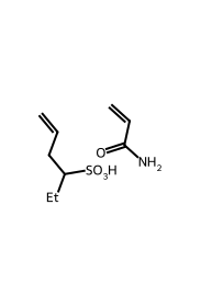 C=CC(N)=O.C=CCC(CC)S(=O)(=O)O